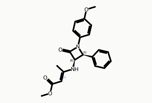 COC(=O)/C=C(\C)N[C@H]1C(=O)N(c2ccc(OC)cc2)[C@H]1c1ccccc1